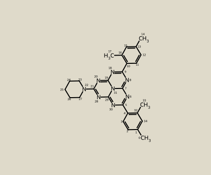 Cc1ccc(C2=NC3=NC(c4ccc(C)cc4C)=NC4=NC(N5CCCCC5)=NC(=N2)N34)c(C)c1